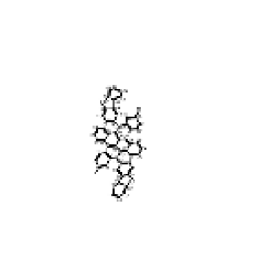 Cc1cccc(N(c2ccc3oc4ccccc4c3c2)c2c3ccccc3cc3c(N(c4cccc(C)c4)c4ccc5oc6ccccc6c5c4)c4ccccc4cc23)c1